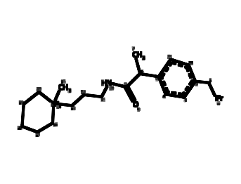 CC(C)Cc1ccc(C(C)C(=O)NCCC[N+]2(C)CCCCC2)cc1